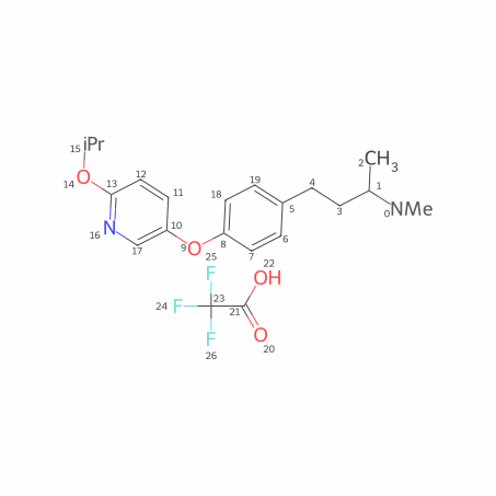 CNC(C)CCc1ccc(Oc2ccc(OC(C)C)nc2)cc1.O=C(O)C(F)(F)F